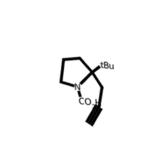 C#CCC1(C(C)(C)C)CCCN1C(=O)O